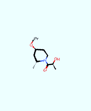 CC(C)O[C@H]1CCN(C(=O)[C@H](C)O)[C@H](C)C1